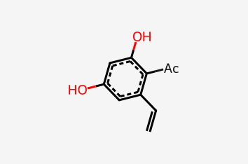 C=Cc1cc(O)cc(O)c1C(C)=O